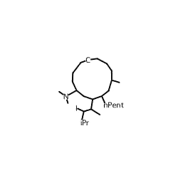 CCCCCC1CC(C)CCCCCCCC(N(C)C)CC1C(C)C(I)C(C)C